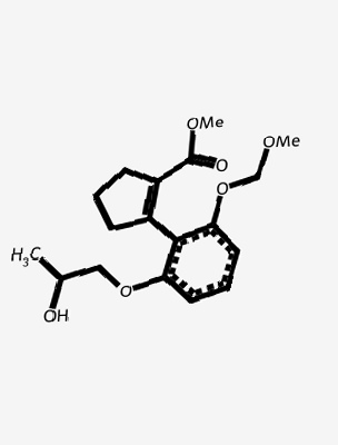 COCOc1cccc(OCC(C)O)c1C1=C(C(=O)OC)CCC1